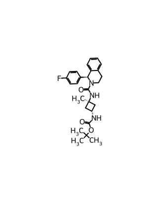 CC(C)(C)OC(=O)N[C@H]1C[C@](C)(NC(=O)N2CCc3ccccc3[C@@H]2c2ccc(F)cc2)C1